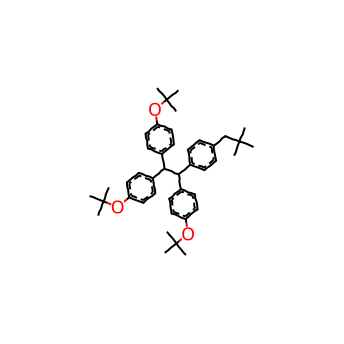 CC(C)(C)Cc1ccc(C(c2ccc(OC(C)(C)C)cc2)C(c2ccc(OC(C)(C)C)cc2)c2ccc(OC(C)(C)C)cc2)cc1